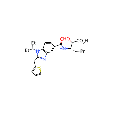 CCC(CC)n1c(Cc2cccs2)nc2cc(C(=O)N[C@@H](CC(C)C)[C@@H](O)C(=O)O)ccc21